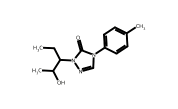 CCC(C(C)O)n1ncn(-c2ccc(C)cc2)c1=O